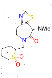 CNC1C(=O)N(CC2CCCCS2(=O)=O)CCc2ncsc21